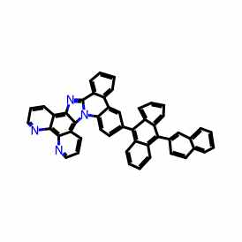 c1ccc2cc(-c3c4ccccc4c(-c4ccc5c(c4)c4ccccc4c4nc6c7cccnc7c7ncccc7c6n54)c4ccccc34)ccc2c1